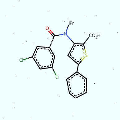 CC(C)N(C(=O)c1cc(Cl)cc(Cl)c1)c1cc(-c2ccccc2)sc1C(=O)O